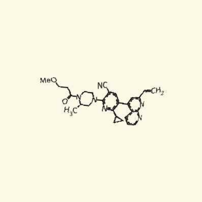 C=Cc1cc(-c2cc(C#N)c(N3CCN(C(=O)CCOC)[C@H](C)C3)nc2C2CC2)c2cccnc2n1